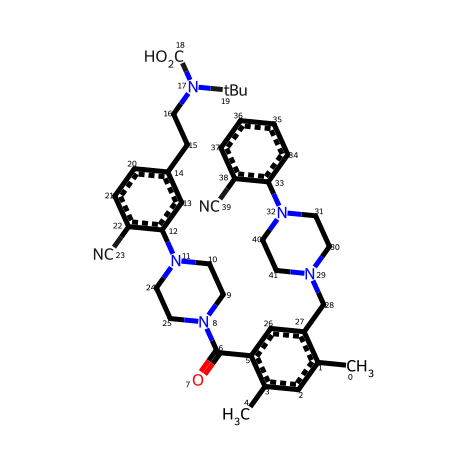 Cc1cc(C)c(C(=O)N2CCN(c3cc(CCN(C(=O)O)C(C)(C)C)ccc3C#N)CC2)cc1CN1CCN(c2ccccc2C#N)CC1